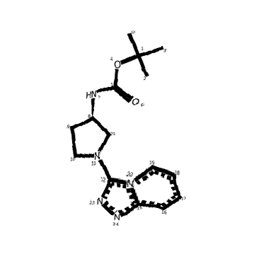 CC(C)(C)OC(=O)N[C@@H]1CCN(c2nnc3ccccn23)C1